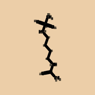 CC(=O)NCCCCNS(C)(=O)=O